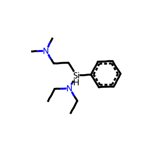 CCN(CC)[SiH](CCN(C)C)c1ccccc1